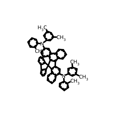 Cc1cc(C)cc(N(c2ccc3c4c(c5ccccc5c3c2)-c2cc(N(c3cc(C)cc(C)c3)c3ccccc3C)c3ccccc3c2C42c3ccccc3-c3ccccc32)c2ccccc2C)c1